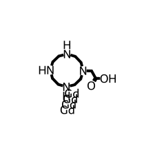 O=C(O)CN1CCNCCNCCNCC1.[Gd].[Gd].[Gd].[Gd]